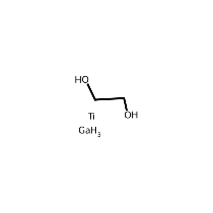 OCCO.[GaH3].[Ti]